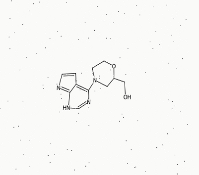 OCC1CN(c2nc[nH]c3nccc2-3)CCO1